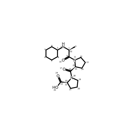 C[C@H](NC1CCCCC1)C(=O)N1CCC[C@H]1C(=O)N1CCC[C@H]1C(=O)O